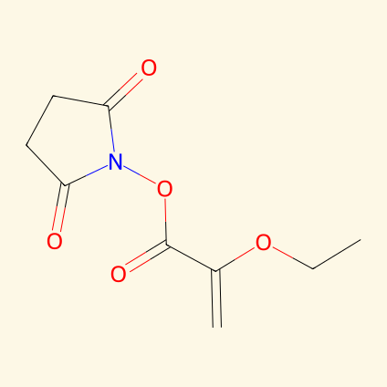 C=C(OCC)C(=O)ON1C(=O)CCC1=O